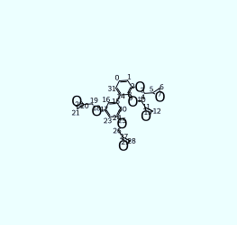 c1cc(OCC2CO2)c(OCC2CO2)c(-c2cc(OCC3CO3)cc(OCC3CO3)c2)c1